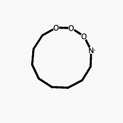 C1CCCCOOO[N]CCC1